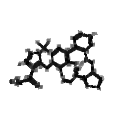 C=CC(=O)N1CCCC1COc1cnccc1-c1ccc(Cc2c(C(N)=O)nnn2C(C)(C)C)c(C)c1F